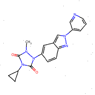 Cn1c(=O)n(C2CC2)c(=O)n1-c1ccc2nn(-c3cccnc3)cc2c1